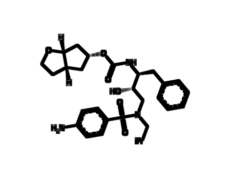 CC(C)CN(C[C@H](O)[C@H](Cc1ccccc1)NC(=O)O[C@@H]1C[C@@H]2CCO[C@@H]2C1)S(=O)(=O)c1ccc(N)cc1